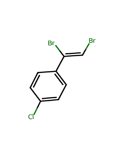 Clc1ccc(C(Br)=CBr)cc1